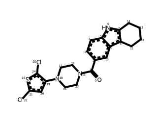 O=C(c1ccc2[nH]c3c(c2c1)CCCC3)N1CCN(c2cc(Cl)sc2Cl)CC1